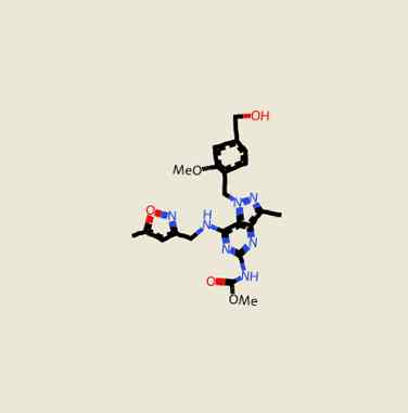 COC(=O)Nc1nc(NCc2cc(C)on2)c2c(n1)c(C)nn2Cc1ccc(CO)cc1OC